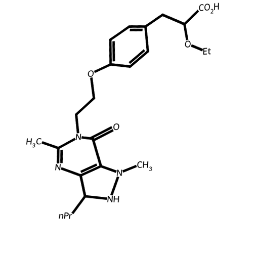 CCCC1NN(C)c2c1nc(C)n(CCOc1ccc(CC(OCC)C(=O)O)cc1)c2=O